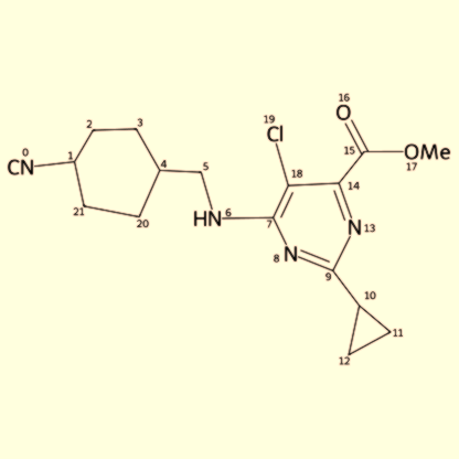 [C-]#[N+]C1CCC(CNc2nc(C3CC3)nc(C(=O)OC)c2Cl)CC1